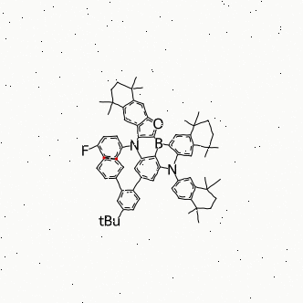 CC(C)(C)c1ccc(-c2cc3c4c(c2)N(c2ccc(F)cc2)c2c(oc5cc6c(cc25)C(C)(C)CCC6(C)C)B4c2cc4c(cc2N3c2ccc3c(c2)C(C)(C)CCC3(C)C)C(C)(C)CCC4(C)C)c(-c2ccccc2)c1